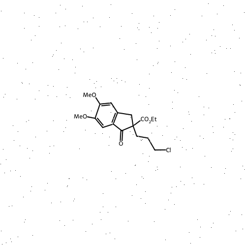 CCOC(=O)C1(CCCCl)Cc2cc(OC)c(OC)cc2C1=O